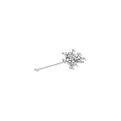 CCCCCCCCCCCCCCCCCC(=O)O[C@H]1C[C@]2(CC[C@@](C)([C@H]3CC[C@@](C)(C4O[C@@H]([C@H]5O[C@@](O)(CO)[C@H](C)C[C@@H]5C)C[C@@H]4C)O3)O2)O[C@H]([C@@H](C)[C@@H](OC(=O)CC)[C@@H](C)C(=O)O)[C@@H]1C